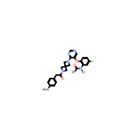 CCN(C(=O)C(C)C)c1cc(F)ccc1Oc1cncnc1N1CC2(CN(C(=O)Cc3ccc(SC)cc3)C2)C1